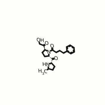 CC1CC[C@@H](C(=O)[C@@H]2CC[C@@H](C(=O)CO)N2C(=O)CCCc2ccccc2)N1